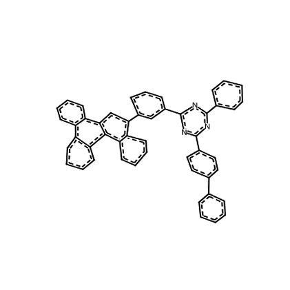 c1ccc(-c2ccc(-c3nc(-c4ccccc4)nc(-c4cccc(-c5cc6c7ccccc7c7ccccc7c6c6ccccc56)c4)n3)cc2)cc1